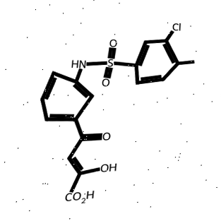 Cc1ccc(S(=O)(=O)Nc2cccc(C(=O)C=C(O)C(=O)O)c2)cc1Cl